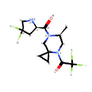 C[C@H]1CN(C(=O)C(F)(F)F)C2(CC2)CN1C(=O)[C@H]1CC(F)(F)CN1